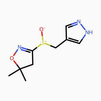 CC1(C)CC([S+]([O-])Cc2cn[nH]c2)=NO1